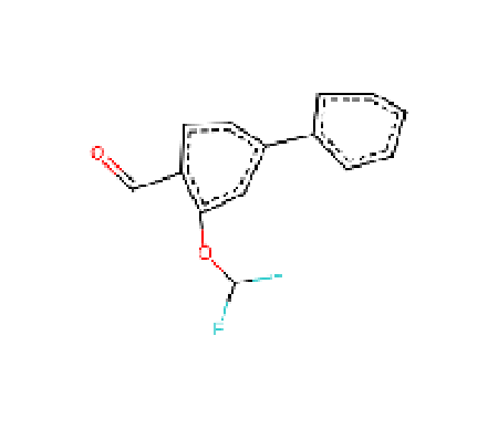 O=Cc1ccc(-c2ccccc2)cc1OC(F)F